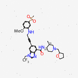 COc1ccc(S(C)(=O)=O)cc1NCC#Cc1cc(C(=O)N[C@H]2CCN(CC3CCCO3)C[C@@H]2C)c2ncn(CC(F)(F)F)c2c1